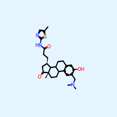 Cc1cnc(NC(=O)CC[C@@H]2CC(=O)[C@@]3(C)CCC4c5cc(CN(C)C)c(O)cc5CCC4C23)s1